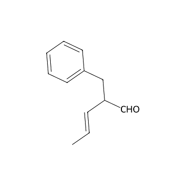 CC=CC(C=O)Cc1ccccc1